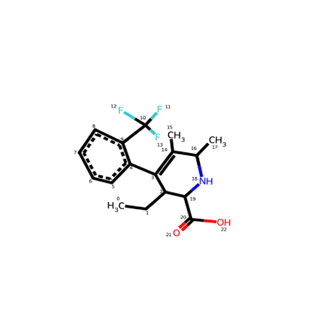 CCC1C(c2ccccc2C(F)(F)F)=C(C)C(C)NC1C(=O)O